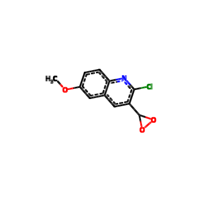 COc1ccc2nc(Cl)c(C3OO3)cc2c1